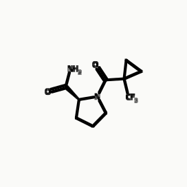 NC(=O)[C@@H]1CCCN1C(=O)C1(C(F)(F)F)CC1